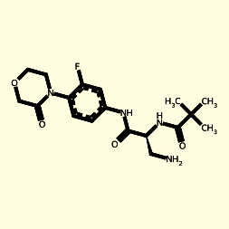 CC(C)(C)C(=O)N[C@@H](CN)C(=O)Nc1ccc(N2CCOCC2=O)c(F)c1